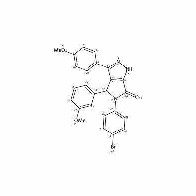 COc1ccc(-c2n[nH]c3c2C(c2cccc(OC)c2)N(c2ccc(Br)cc2)C3=O)cc1